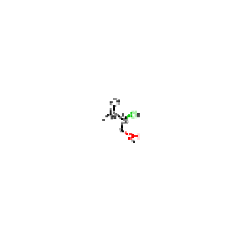 CC[C@H](C)[C@@H](Cl)CO